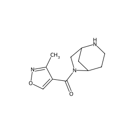 Cc1nocc1C(=O)N1CC2CC1CCN2